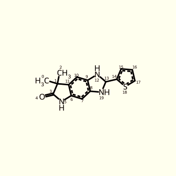 CC1(C)C(=O)Nc2cc3c(cc21)NC(c1cccs1)N3